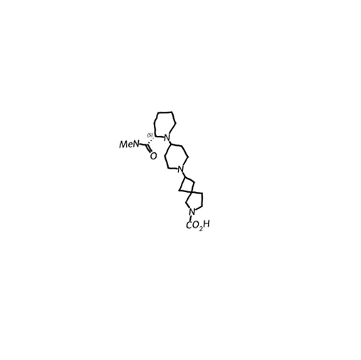 CNC(=O)[C@@H]1CCCCN1C1CCN(C2CC3(CCN(C(=O)O)C3)C2)CC1